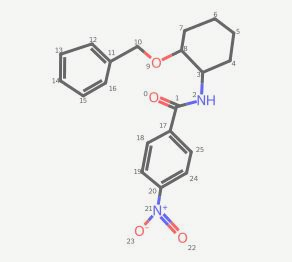 O=C(NC1CCCCC1OCc1ccccc1)c1ccc([N+](=O)[O-])cc1